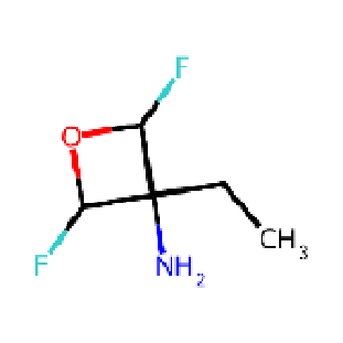 CCC1(N)C(F)OC1F